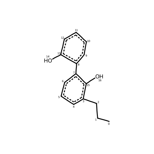 CCCc1cccc(-c2ccccc2O)c1O